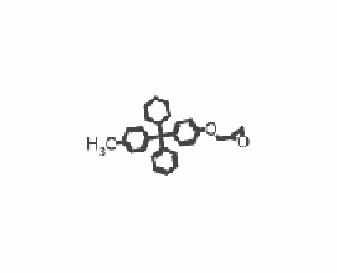 Cc1ccc(C(c2ccccc2)(c2ccc(OCC3CO3)cc2)C2CCCCC2)cc1